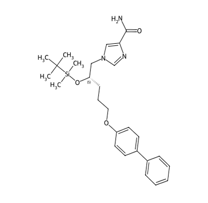 CC(C)(C)[Si](C)(C)O[C@@H](CCCOc1ccc(-c2ccccc2)cc1)Cn1cnc(C(N)=O)c1